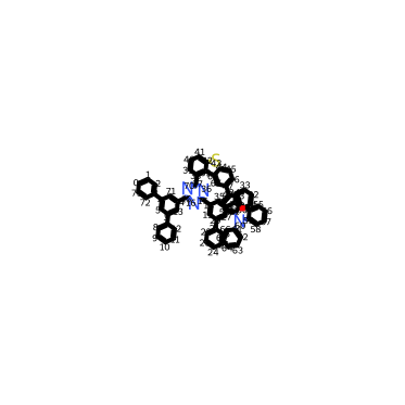 c1ccc(-c2cc(-c3ccccc3)cc(-c3nc(-c4cc(-c5ccccc5)cc(-c5ccccc5)c4)nc(-c4cccc5sc6ccc(-c7ccc8c(c7)c7ccccc7n8-c7ccccc7)cc6c45)n3)c2)cc1